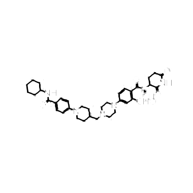 CN(C(=O)c1ccc(N2CCN(CC3CCN(c4ccc(C(=O)NC5CCCCC5)cc4)CC3)CC2)cc1C=O)C1CCC(=O)NC1=O